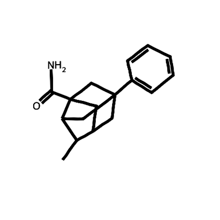 CC1C2CC3(c4ccccc4)CC1C(C(N)=O)(C2)C3